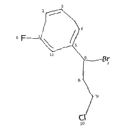 Fc1cccc(C(Br)CCCl)c1